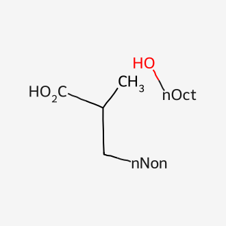 CCCCCCCCCCC(C)C(=O)O.CCCCCCCCO